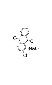 CNc1c(Cl)ccc2c1C(=O)c1ccccc1C2=O